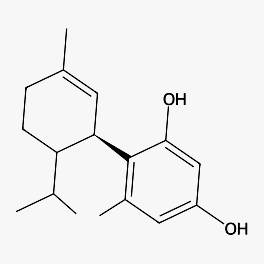 CC1=C[C@@H](c2c(C)cc(O)cc2O)C(C(C)C)CC1